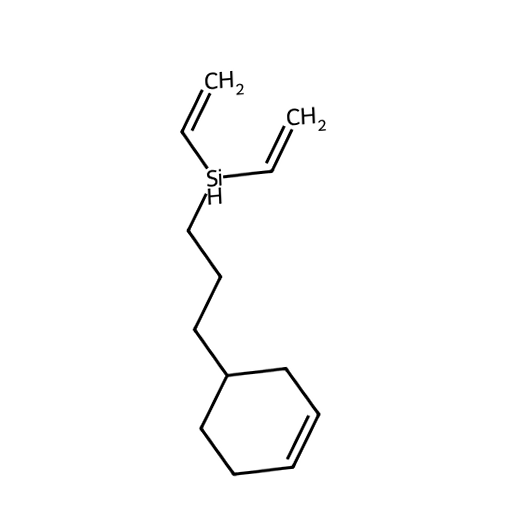 C=C[SiH](C=C)CCCC1CC=CCC1